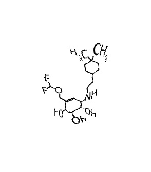 CC1(C)CCC(CCN[C@@H]2C=C(COC(F)F)[C@H](O)[C@H](O)[C@H]2O)CC1